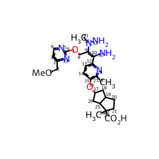 COCc1ccnc(OC/C(=C(/N)c2ccc(OC3CC4CCC(C)(C(=O)O)C4C3)c(C)n2)N(C)N)n1